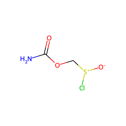 NC(=O)OC[S+]([O-])Cl